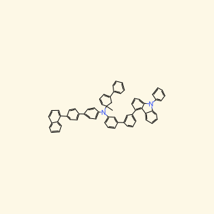 CC1(N(c2ccc(-c3ccc(-c4cccc5ccccc45)cc3)cc2)c2cccc(-c3cccc(-c4cccc5c4c4ccccc4n5-c4ccccc4)c3)c2)C=CC=C(c2ccccc2)C1